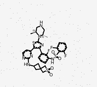 C[C@H]1CNC[C@H](C)N1c1nc(-c2cccc(NS(=O)(=O)c3c(F)cccc3F)c2F)c(-c2ccnc(NC3CC4(C3)CS(=O)(=O)C4)n2)s1